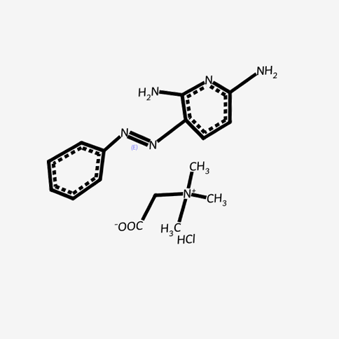 C[N+](C)(C)CC(=O)[O-].Cl.Nc1ccc(/N=N/c2ccccc2)c(N)n1